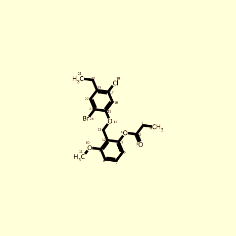 CCC(=O)Oc1cccc(OC)c1COc1cc(Cl)c(CC)cc1Br